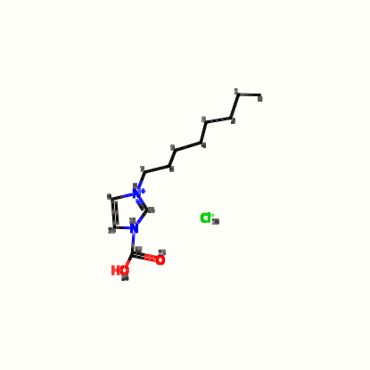 CCCCCCCC[n+]1ccn(C(=O)O)c1.[Cl-]